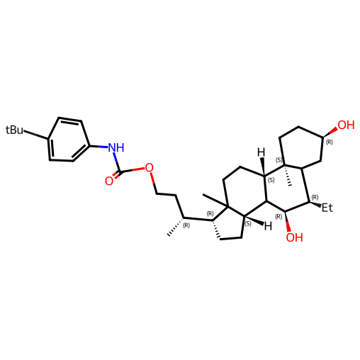 CC[C@@H]1C2C[C@H](O)CC[C@]2(C)[C@H]2CCC3(C)[C@@H]([C@H](C)CCOC(=O)Nc4ccc(C(C)(C)C)cc4)CC[C@H]3C2[C@@H]1O